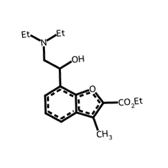 CCOC(=O)c1oc2c(C(O)CN(CC)CC)cccc2c1C